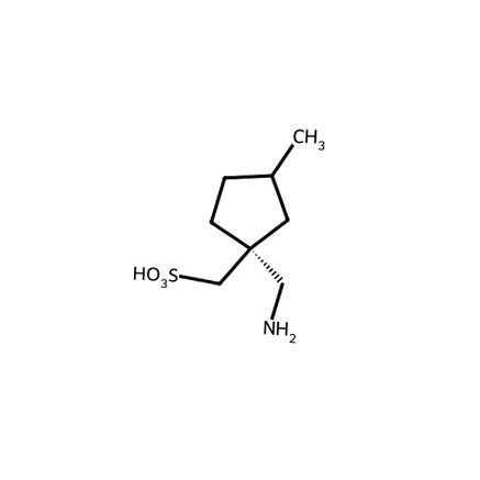 CC1CC[C@](CN)(CS(=O)(=O)O)C1